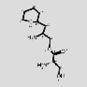 NC(COC(=O)[C@@H](N)CO)CC1CCCCC1